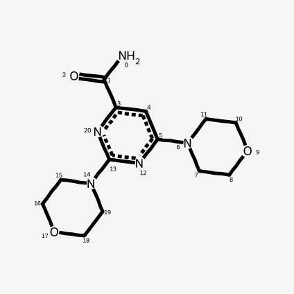 NC(=O)c1cc(N2CCOCC2)nc(N2CCOCC2)n1